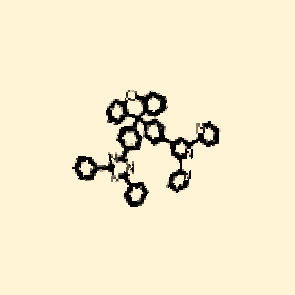 c1ccc(-c2nc(-c3ccccc3)nc(-c3ccc(C4(c5ccc(-c6cc(-c7ccccn7)nc(-c7ccccn7)c6)cc5)c5ccccc5Oc5ccccc54)cc3)n2)cc1